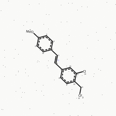 COc1ccc(/C=C/c2ccc(CC(F)(F)F)c(Cl)c2)cc1